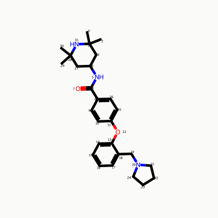 CC1(C)CC(NC(=O)c2ccc(Oc3ccccc3CN3CCCC3)cc2)CC(C)(C)N1